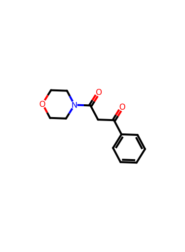 O=C(CC(=O)N1CCOCC1)c1ccccc1